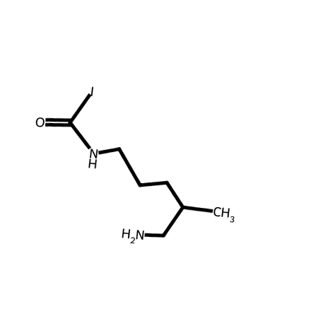 CC(CN)CCCNC(=O)I